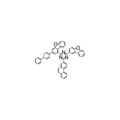 C1=CC(c2ccccc2)CC=C1c1cc(-c2nc(-c3ccc4c(ccc5ccccc54)c3)nc(-c3ccc4oc5ccccc5c4c3)n2)c2c(c1)oc1ccccc12